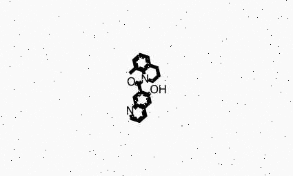 Cc1cccc2c1N(C(=O)c1cc3ncccc3cc1O)CCC2